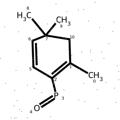 CC1=C(P=O)C=CC(C)(C)C1